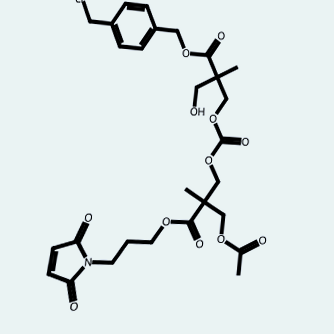 CC(=O)OCC(C)(COC(=O)OCC(C)(CO)C(=O)OCc1ccc(CCl)cc1)C(=O)OCCCN1C(=O)C=CC1=O